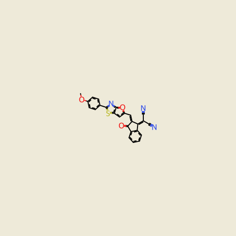 COc1ccc(-c2nc3oc(/C=C4\C(=O)c5ccccc5C4=C(C#N)C#N)cc3s2)cc1